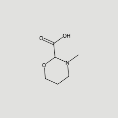 CN1CCCOC1C(=O)O